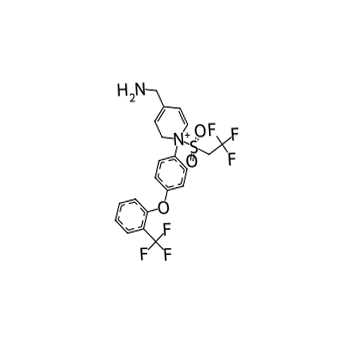 NCC1=CC[N+](c2ccc(Oc3ccccc3C(F)(F)F)cc2)(S(=O)(=O)CC(F)(F)F)C=C1